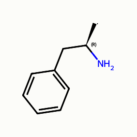 [CH2][C@@H](N)Cc1ccccc1